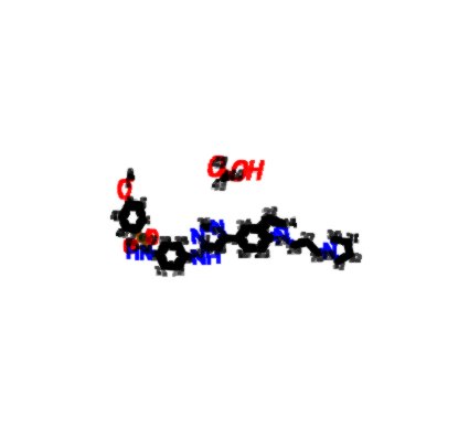 COc1ccc(S(=O)(=O)Nc2ccc(Nc3cc(-c4ccc5c(ccn5CCCN5CCCC5)c4)ncn3)cc2)cc1.O=CO